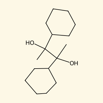 CC(O)(C1CCCCC1)C(C)(O)C1CCCCC1